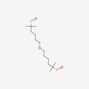 CC(C)(CCCCOCCCCC(C)(C)P=O)P=O